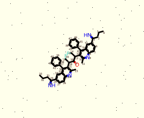 CCCC(=N)c1ccc2nc(C)c(C(CF)C(=O)C(CF)c3c(C)nc4ccc(C(=N)CCC)cc4c3-c3ccccc3)c(-c3ccccc3)c2c1